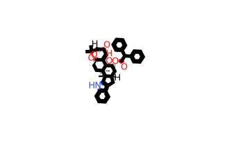 CC1(C)O[C@@]23CC[C@]4(C)[C@@]5(C)c6[nH]c7ccccc7c6C[C@@H]5C[C@H](OC(=O)C(c5ccccc5)c5ccccc5)[C@@]4(O)C2=CC(=O)[C@@H]1O3